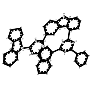 c1ccc(-c2nc(-c3ccccc3)nc(-c3cccc4oc5ccc(-c6nc(-c7ccccc7)nc(-n7c8ccccc8c8ccccc87)n6)cc5c34)n2)cc1